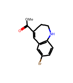 COC(=O)C1=Cc2cc(Br)ccc2NCC1